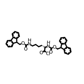 O=C(NCCCC[C@H](NC(=O)OCC1c2ccccc2-c2ccccc21)C(=O)Cl)OCC1c2ccccc2-c2ccccc21